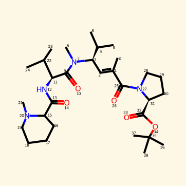 C/C(=C\[C@H](C(C)C)N(C)C(=O)[C@@H](NC(=O)C1CCCCN1C)C(C)C)C(=O)N1CCC[C@H]1C(=O)OC(C)(C)C